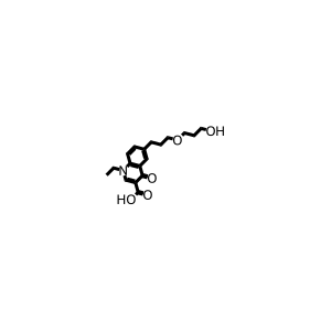 CCn1cc(C(=O)O)c(=O)c2cc(CCCOCCCO)ccc21